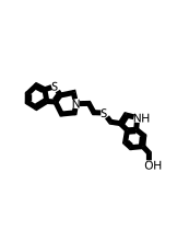 OCc1ccc2c(CSCCN3CCc4c(sc5ccccc45)C3)c[nH]c2c1